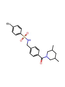 CC1CC(C)CN(C(=O)c2ccc(CNS(=O)(=O)c3ccc(C(C)(C)C)cc3)cc2)C1